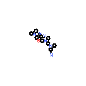 N#Cc1ccc2c(c1)c1ccccc1n2-c1ccc2c(c1)c1ccccc1n2-c1ccc2c(c1)C1(c3cc(-n4c5ccccc5c5ccccc54)ccc3O2)c2cccnc2-c2ncccc21